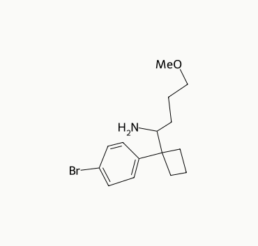 COCCCC(N)C1(c2ccc(Br)cc2)CCC1